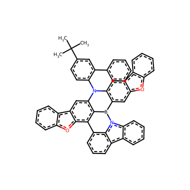 CC(C)(C)c1ccc(N2c3cc4c(cc3B3c5c2cc2c(oc6ccccc62)c5-c2cccc5c6ccccc6n3c25)oc2ccccc24)c(-c2ccccc2)c1